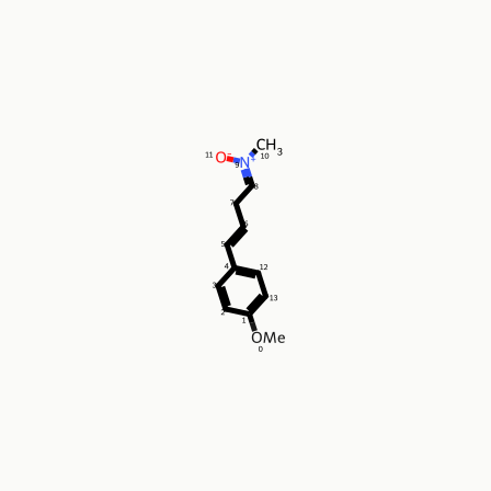 COc1ccc(C=CCC=[N+](C)[O-])cc1